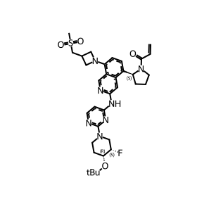 C=CC(=O)N1CCC[C@H]1c1ccc(N2CC(CS(C)(=O)=O)C2)c2cnc(Nc3ccnc(N4CC[C@@H](OC(C)(C)C)[C@@H](F)C4)n3)cc12